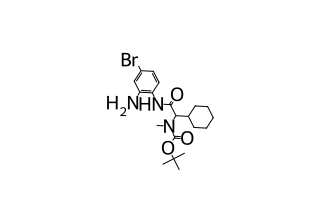 CN(C(=O)OC(C)(C)C)C(C(=O)Nc1ccc(Br)cc1N)C1CCCCC1